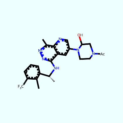 CC(=O)N1CCN(c2cnc3c(C)nnc(N[C@H](C)c4cccc(C(F)(F)F)c4C)c3c2)C(O)C1